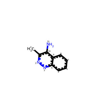 Cc1nnc2ccccc2c1N